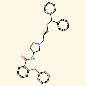 O=C(NC1CCN(C/C=C/CC(c2ccccc2)c2ccccc2)C1)c1ccccc1Oc1ccccc1